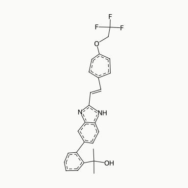 CC(C)(O)c1ccccc1-c1ccc2[nH]c(/C=C/c3ccc(OCC(F)(F)F)cc3)nc2c1